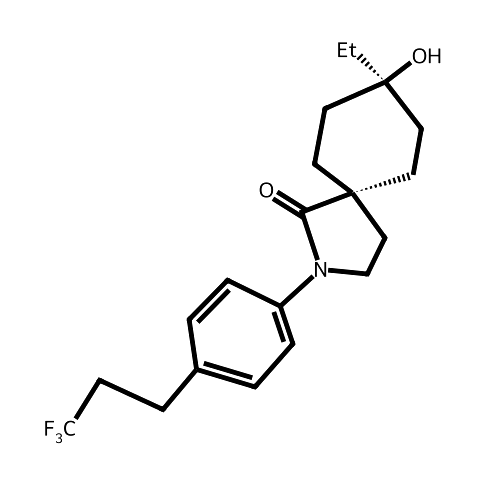 CC[C@]1(O)CC[C@@]2(CCN(c3ccc(CCC(F)(F)F)cc3)C2=O)CC1